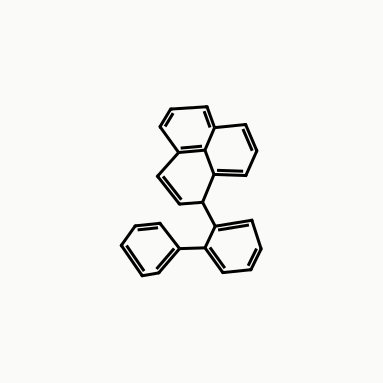 C1=CC(c2ccccc2-c2ccccc2)c2cccc3cccc1c23